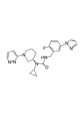 O=C(NCc1cc(-n2cccn2)ccc1F)N(C1CC1)[C@@H]1CCCN(c2cccnn2)C1